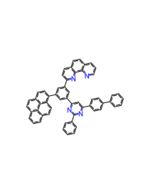 c1ccc(-c2ccc(-c3cc(-c4cc(-c5ccc6ccc7cccnc7c6n5)cc(-c5ccc6ccc7cccc8ccc5c6c78)c4)nc(-c4ccccc4)n3)cc2)cc1